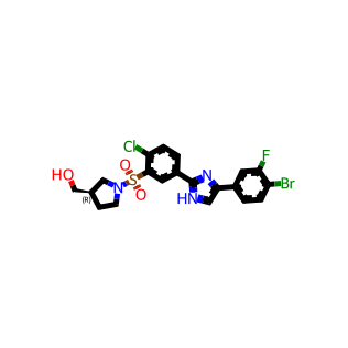 O=S(=O)(c1cc(-c2nc(-c3ccc(Br)c(F)c3)c[nH]2)ccc1Cl)N1CC[C@@H](CO)C1